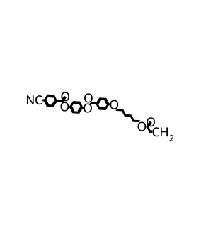 C=CC(=O)OCCCCCCOc1ccc(C(=O)Oc2ccc(OC(=O)c3ccc(C#N)cc3)cc2)cc1